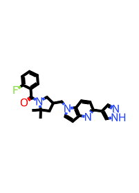 CC1(C)CC(Cn2ccc3nc(-c4cn[nH]c4)ccc32)CN1C(=O)c1ccccc1F